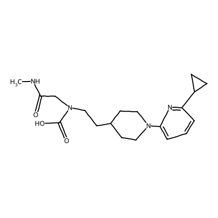 CNC(=O)CN(CCC1CCN(c2cccc(C3CC3)n2)CC1)C(=O)O